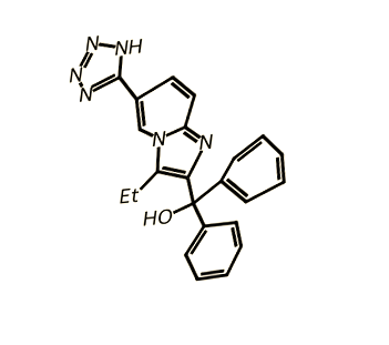 CCc1c(C(O)(c2ccccc2)c2ccccc2)nc2ccc(-c3nnn[nH]3)cn12